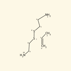 C=CC.NCCSSCCN